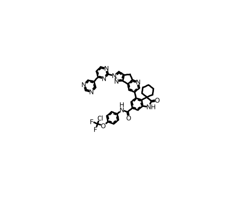 O=C(Nc1ccc(OC(F)(F)Cl)cc1)c1cc2c(c(-c3cnc4c(c3)-c3nn(-c5nccc(-c6cncnc6)n5)cc3C4)c1)C1(CCCCC1)C(=O)N2